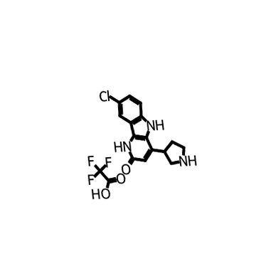 O=C(O)C(F)(F)F.O=c1cc(C2CCNC2)c2[nH]c3ccc(Cl)cc3c2[nH]1